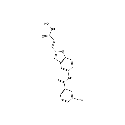 CC(C)(C)c1cccc(C(=O)Nc2ccc3sc(C=CC(=O)NO)cc3c2)c1